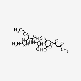 CCO/N=C(/C(=O)N[C@@H]1C(=O)N2C(C(=O)O)=C(COC(=O)CC(C)=O)CS[C@H]12)c1nsc(N)n1